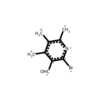 Cc1nc(Br)c(C=O)c(C)c1C